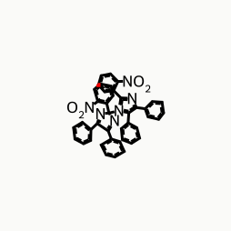 O=[N+]([O-])c1ccccc1-c1nc(-c2ccccc2)c(-c2ccccc2)n1C1(c2ccccc2[N+](=O)[O-])N=C(c2ccccc2)C(c2ccccc2)=N1